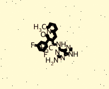 Cc1cccc2cc(C(C)Nc3nc(N)nc4[nH]cnc34)c(-c3cc(F)cc(F)c3)c(=O)n12